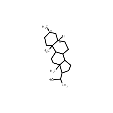 CC(O)C1CCC2C3CC[C@H]4C[C@H](C)CCC4(C)C3CCC12C